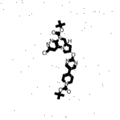 CC(C)(C)OC(=O)N1CC=C(c2cnc(O[C@H]3C[C@@H]4CN(C(=O)OC(C)(C)C)c5nnc(Cl)cc5N4C3)nc2)CC1